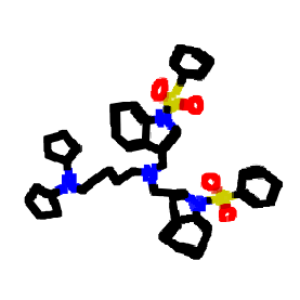 O=S(=O)(c1ccccc1)n1cc(CN(CCCCN(C2CCCC2)C2CCCC2)Cc2cn(S(=O)(=O)c3ccccc3)c3ccccc23)c2ccccc21